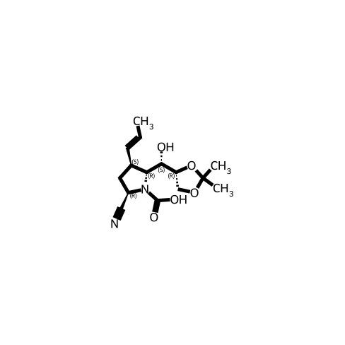 CC=C[C@@H]1C[C@H](C#N)N(C(=O)O)[C@H]1[C@H](O)[C@H]1COC(C)(C)O1